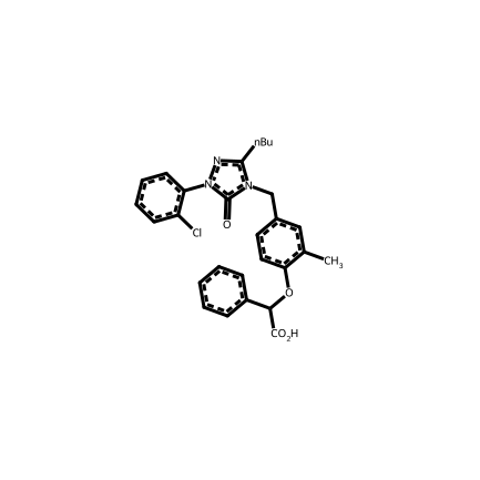 CCCCc1nn(-c2ccccc2Cl)c(=O)n1Cc1ccc(OC(C(=O)O)c2ccccc2)c(C)c1